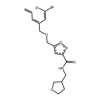 C=C/C=C(\C=C(\Br)CC)COCc1cc(C(=O)NCC2CCOC2)no1